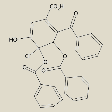 O=C(O)C1=C(C(=O)c2ccccc2)C(OC(=O)c2ccccc2)C(Cl)(OC(=O)c2ccccc2)C(O)=C1